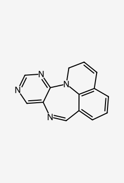 C1=Cc2cccc3c2N(C1)c1ncncc1N=C3